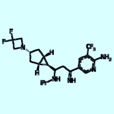 CC(C)NC(CC(=N)c1cnc(N)c(C(F)(F)F)c1)[C@H]1[C@@H]2C[C@H](N3CC(F)(F)C3)C[C@@H]21